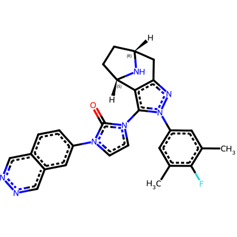 Cc1cc(-n2nc3c(c2-n2ccn(-c4ccc5cnncc5c4)c2=O)[C@@H]2CC[C@H](C3)N2)cc(C)c1F